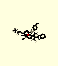 CCc1ccc(N(C(=O)c2c(-c3nc4ccccc4s3)c(=O)oc3cc(N(CC)CC)ccc23)S(=O)(=O)c2ccc(CCC(=O)OC(C)(C)C)cc2)cc1